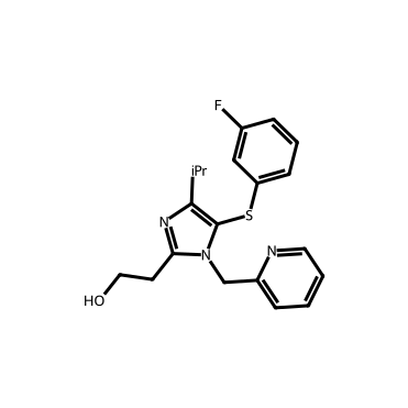 CC(C)c1nc(CCO)n(Cc2ccccn2)c1Sc1cccc(F)c1